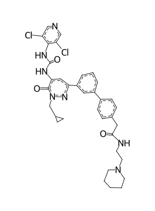 O=C(Cc1ccc(-c2cccc(-c3cc(NC(=O)Nc4c(Cl)cncc4Cl)c(=O)n(CC4CC4)n3)c2)cc1)NCCN1CCCCC1